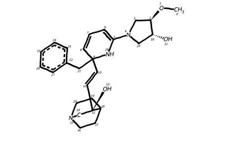 CO[C@@H]1CN(C2=CC=CC(/C=C/[C@@]3(O)CN4CCC3CC4)(Cc3ccccc3)N2)C[C@H]1O